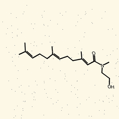 CC(C)=CCC/C(C)=C/CC/C(C)=C/C(=O)N(C)CCO